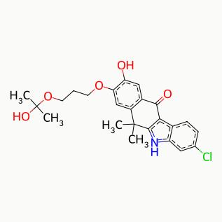 CC(C)(O)OCCCOc1cc2c(cc1O)C(=O)c1c([nH]c3cc(Cl)ccc13)C2(C)C